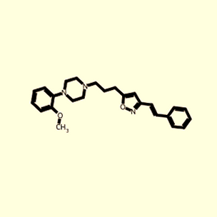 COc1ccccc1N1CCN(CCCc2cc(C=Cc3ccccc3)no2)CC1